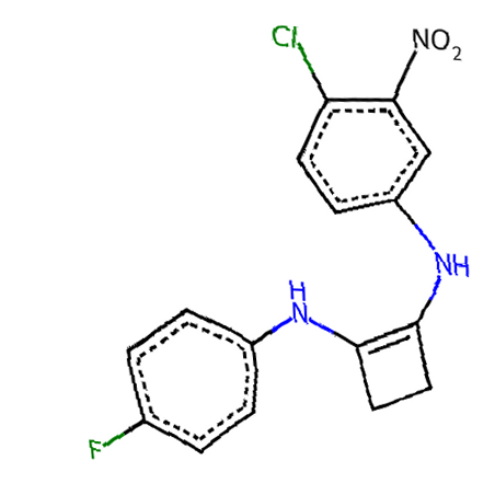 O=[N+]([O-])c1cc(NC2=C(Nc3ccc(F)cc3)CC2)ccc1Cl